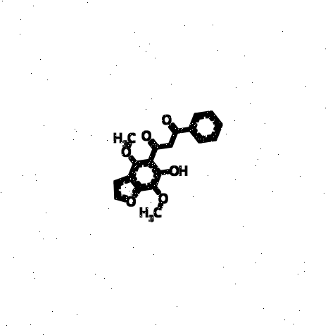 COc1c(C(=O)CC(=O)c2ccccc2)c(O)c(OC)c2occc12